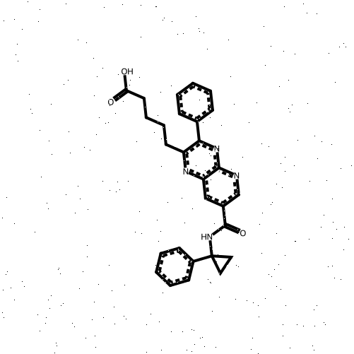 O=C(O)CCCCc1nc2cc(C(=O)NC3(c4ccccc4)CC3)cnc2nc1-c1ccccc1